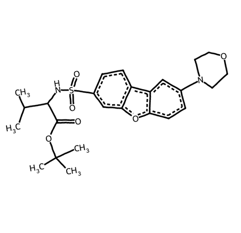 CC(C)C(NS(=O)(=O)c1ccc2c(c1)oc1ccc(N3CCOCC3)cc12)C(=O)OC(C)(C)C